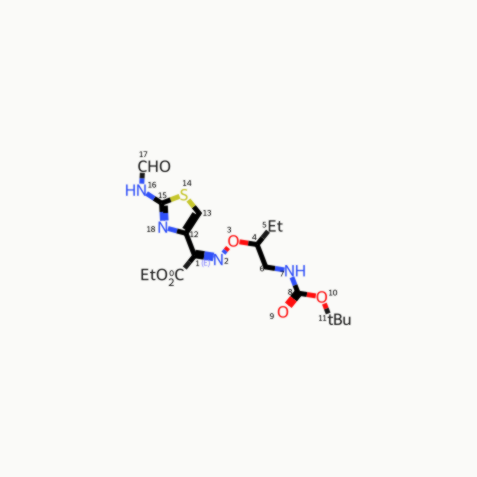 CCOC(=O)/C(=N/OC(CC)CNC(=O)OC(C)(C)C)c1csc(NC=O)n1